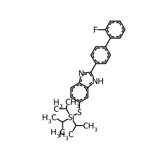 CC(C)[Si](Sc1ccc2nc(-c3ccc(-c4ccccc4F)cc3)[nH]c2c1)(C(C)C)C(C)C